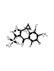 Cc1c(F)c(F)c(C(=O)c2c(S(C)(=O)=O)noc2C2CC2)c([N+](=O)[O-])c1F